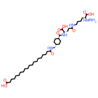 NN[C@@H](CCCCNC(=O)CC[C@H](NC(=O)[C@H]1CC[C@H](CNC(=O)CCCCCCCCCCCCCCCCCCC(=O)O)CC1)C(=O)O)C(=O)O